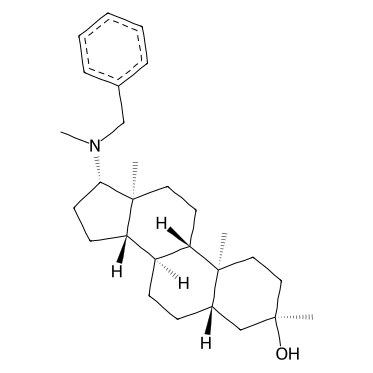 CN(Cc1ccccc1)[C@H]1CC[C@H]2[C@@H]3CC[C@H]4C[C@](C)(O)CC[C@]4(C)[C@H]3CC[C@]12C